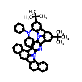 CC(C)(C)c1cc(N(c2ccccc2)c2ccccc2)c2c(c1)c1cc(C(C)(C)C)cc3c4nc5c(cc4n2c13)c1c2ccccc2cc2c3ccc4ccccc4c3n5c21